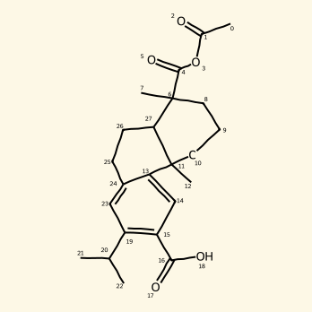 CC(=O)OC(=O)C1(C)CCCC2(C)c3cc(C(=O)O)c(C(C)C)cc3CCC12